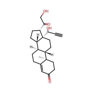 C#CC(O)[C@]12CC[C@H]3[C@@H](CCC4=CC(=O)CC[C@@]43C)[C@@H]1CC[C@@H]2C(=O)CO